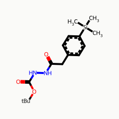 CC(C)(C)OC(=O)NNC(=O)Cc1ccc([Si](C)(C)C)cc1